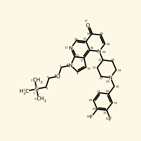 C[Si](C)(C)CCOCn1ccc2c1ncc1c(=O)ccn(C3CCN(Cc4ccc(F)c(F)c4)CC3)c12